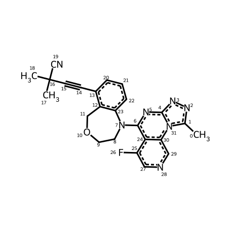 Cc1nnc2nc(N3CCOCc4c(C#CC(C)(C)C#N)cccc43)c3c(F)cncc3n12